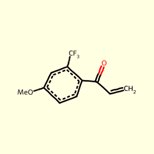 C=CC(=O)c1ccc(OC)cc1C(F)(F)F